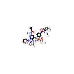 Cc1nc2c(Nc3ccc(C4=NC(C)(C)CO4)cc3S(C)(=O)=O)cc(NC(=O)C3CC3)nc2n1C1CCCCO1